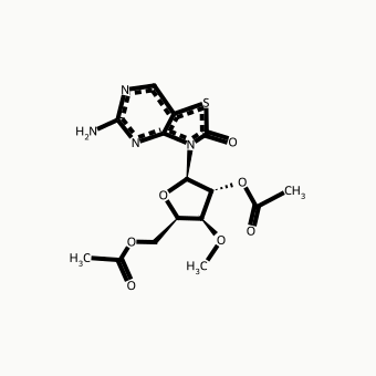 CO[C@@H]1[C@@H](OC(C)=O)[C@H](n2c(=O)sc3cnc(N)nc32)O[C@@H]1COC(C)=O